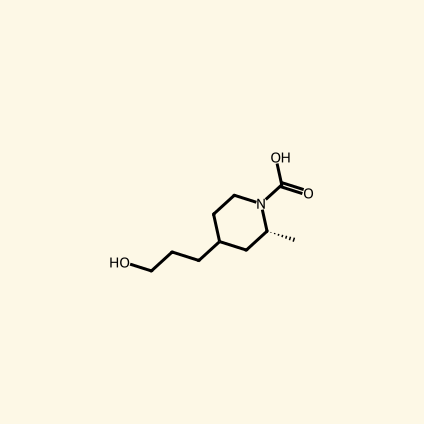 C[C@@H]1CC(CCCO)CCN1C(=O)O